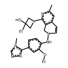 CCOc1cc(-c2nncn2C)ccc1NN1C=Cc2cc(C)nc(N3CC(O)(CC)C3)c2C1